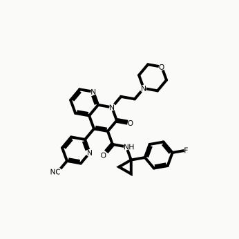 N#Cc1ccc(-c2c(C(=O)NC3(c4ccc(F)cc4)CC3)c(=O)n(CCN3CCOCC3)c3ncccc23)nc1